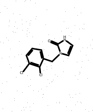 O=c1[nH]ccn1Cc1cccc(Cl)c1Cl